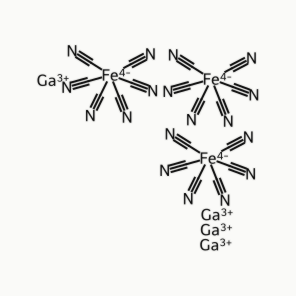 N#[C][Fe-4]([C]#N)([C]#N)([C]#N)([C]#N)[C]#N.N#[C][Fe-4]([C]#N)([C]#N)([C]#N)([C]#N)[C]#N.N#[C][Fe-4]([C]#N)([C]#N)([C]#N)([C]#N)[C]#N.[Ga+3].[Ga+3].[Ga+3].[Ga+3]